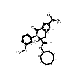 CSc1cccc(N2C(=O)c3cc(C(C)C)nn3CC2(C)C(=O)NC2CCCCCCC2)c1